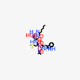 CCCCCC(N)C(=O)NC(=O)[C@H](CC(=O)O)NC(=O)[C@H](CCSC)NC(=O)[C@H](Cc1c[nH]c2ccccc12)NC(=O)OC(C)(C)C